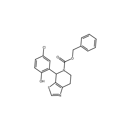 O=C(OCc1ccccc1)N1CCc2ncsc2C1c1cc(Cl)ccc1O